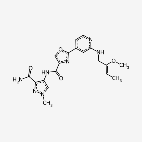 C/C=C(/CNc1cc(-c2nc(C(=O)Nc3cn(C)nc3C(N)=O)co2)ccn1)OC